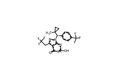 CC1([C@@H](c2ccc(C(F)(F)F)cc2)n2nc(CC(F)(F)F)c3c(=O)[nH]c(O)nc32)CC1